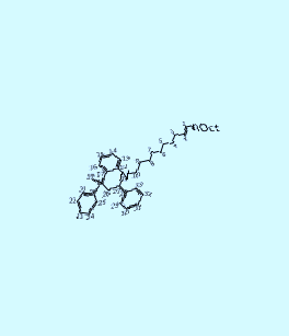 CCCCCCCCC=CCCCCCCCCN1c2ccccc2C(C)(c2ccccc2)CC1c1ccccc1